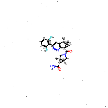 CNC(=O)[C@@H]1[C@@H]2CN(C(=O)[C@]34CC[C@H](c5cc(-c6c(F)cccc6F)nnc53)C4(C)C)C[C@@H]21